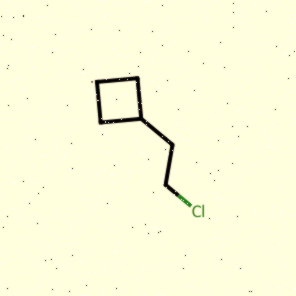 ClCCC1C[CH]C1